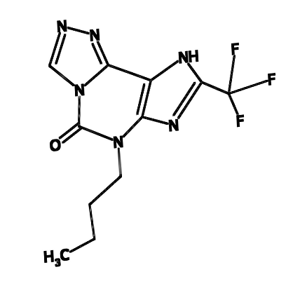 CCCCn1c(=O)n2cnnc2c2[nH]c(C(F)(F)F)nc21